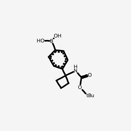 CC(C)(C)OC(=O)NC1(c2ccc(B(O)O)cc2)CCC1